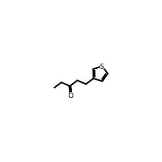 CCC(=O)CCc1ccsc1